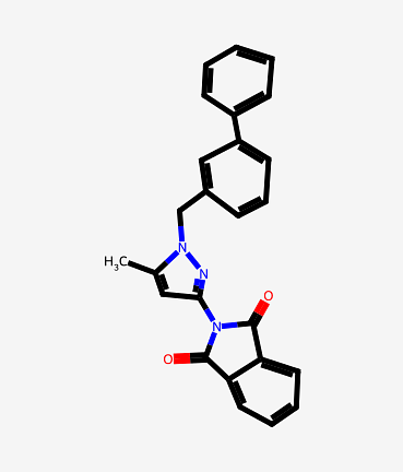 Cc1cc(N2C(=O)c3ccccc3C2=O)nn1Cc1cccc(-c2ccccc2)c1